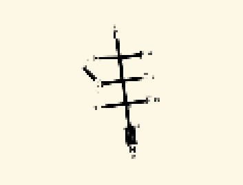 COC(F)(C(F)(F)F)C(F)(F)C#N